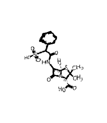 CC1(C)S[C@@H]2C(NC(=O)C(c3ccccc3)S(=O)(=O)O)C(=O)N2[C@H]1C(=O)O